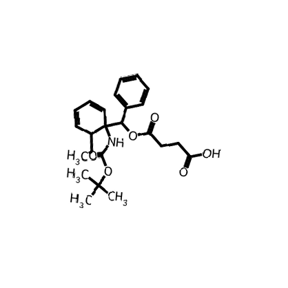 CCC1C=CC=CC1(NC(=O)OC(C)(C)C)C(OC(=O)CCC(=O)O)c1ccccc1